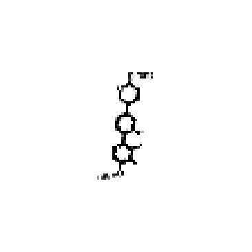 CCCCCC1CCC(c2ccc(-c3ccc(OCCCC)c(F)c3F)c(F)c2)CO1